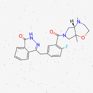 CN1CCOC2(C)CN(C(=O)c3cc(Cc4n[nH]c(=O)c5ccccc45)ccc3F)C[C@H]12